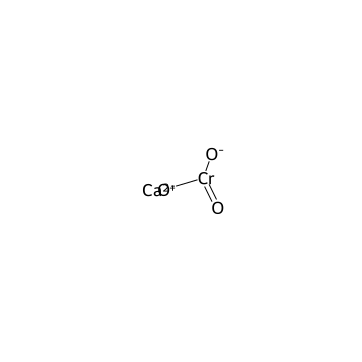 [Ca+2].[O]=[Cr]([O-])[O-]